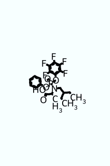 CCC(CC)CN([C@@H](C)C(=O)O)[P@](=O)(Oc1ccccc1)Oc1c(F)c(F)c(F)c(F)c1F